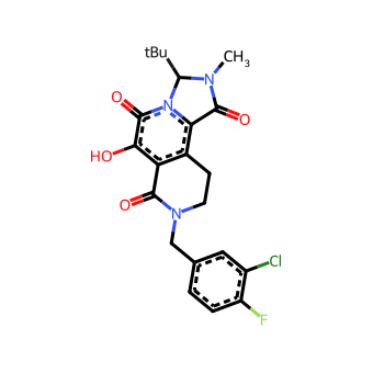 CN1C(=O)c2c3c(c(O)c(=O)n2C1C(C)(C)C)C(=O)N(Cc1ccc(F)c(Cl)c1)CC3